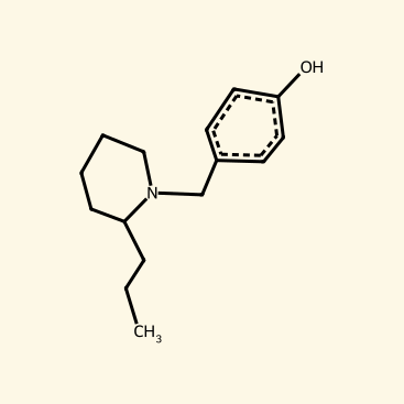 CCCC1CCCCN1Cc1ccc(O)cc1